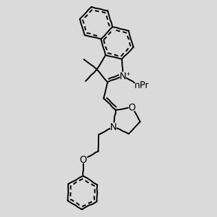 CCC[N+]1=C(/C=C2\OCCN2CCOc2ccccc2)C(C)(C)c2c1ccc1ccccc21